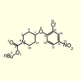 CCCCOC(=O)N1CCC(Oc2ccc([N+](=O)[O-])cc2Cl)CC1